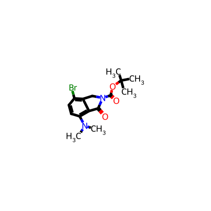 CN(C)c1ccc(Br)c2c1C(=O)N(C(=O)OC(C)(C)C)C2